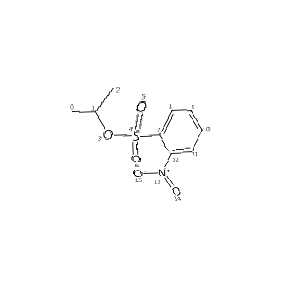 CC(C)OS(=O)(=O)c1ccccc1[N+](=O)[O-]